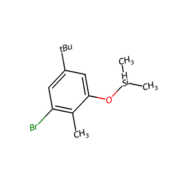 Cc1c(Br)cc(C(C)(C)C)cc1O[SiH](C)C